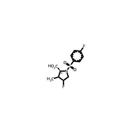 CC1C(F)CN(S(=O)(=O)c2ccc(F)cc2)[C@@H]1C(=O)O